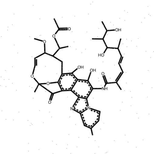 COC1/C=C/OC2(C)Oc3c(c(O)c4c(O)c(NC(=O)/C(C)=C\C=C\C(C)C(O)C(C)C(C)O)c5c(nc6cc(C)ccn65)c4c3C2=O)CC1C(C)OC(C)=O